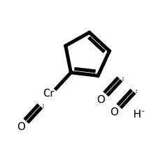 [C]=O.[C]=O.[C]=O.[Cr][C]1=CC=CC1.[H-]